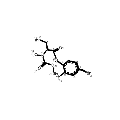 CC(C)CC(C(=O)Nc1ccc(Br)cc1N)N(C)C(=O)OC(C)(C)C